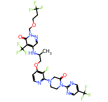 CC(COc1ccnc(N2CCN(c3ncc(C(F)(F)F)cn3)C(=O)C2)c1F)Nc1cnn(COCCC(F)(F)F)c(=O)c1C(F)(F)F